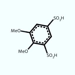 COc1cc(S(=O)(=O)O)cc(S(=O)(=O)O)c1OC